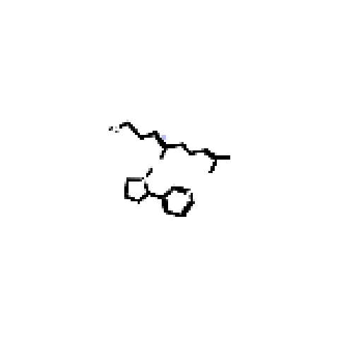 CC(=O)CC/C=C(\C)CCC=C(C)C.CN1CCCC1c1cccnc1